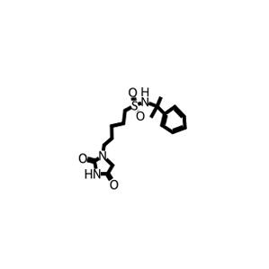 CC(C)(NS(=O)(=O)CCCCCN1CC(=O)NC1=O)c1ccccc1